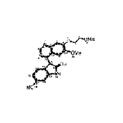 COCCOc1cc2ncnc(C3C(=O)Nc4cc(C#N)ccc43)c2cc1OC